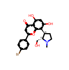 CN1CC[C@H](c2c(O)cc(O)c3c(=O)cc(-c4ccc(Br)cc4)oc23)[C@H]1CO